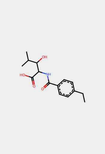 CCc1ccc(C(=O)NC(C(=O)O)C(O)C(C)C)cc1